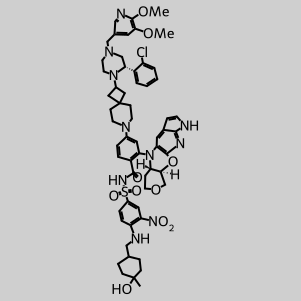 COc1cc(CN2CCN(C3CC4(CCN(c5ccc(C(=O)NS(=O)(=O)c6ccc(NCC7CCC(C)(O)CC7)c([N+](=O)[O-])c6)c(N6c7cc8cc[nH]c8nc7O[C@H]7COCC[C@@H]76)c5)CC4)C3)[C@@H](c3ccccc3Cl)C2)cnc1OC